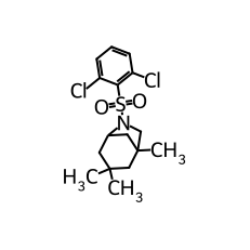 CC1(C)CC2CC(C)(CN2S(=O)(=O)c2c(Cl)cccc2Cl)C1